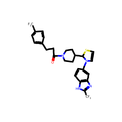 O=C(CCc1ccc(C(F)(F)F)cc1)N1CCC(C2SC=CN2c2ccc3[nH]c(C(F)(F)F)nc3c2)CC1